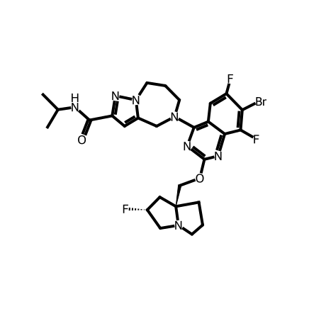 CC(C)NC(=O)c1cc2n(n1)CCCN(c1nc(OC[C@@]34CCCN3C[C@H](F)C4)nc3c(F)c(Br)c(F)cc13)C2